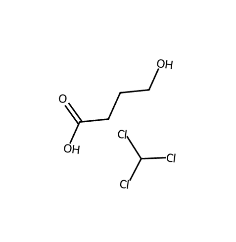 ClC(Cl)Cl.O=C(O)CCCO